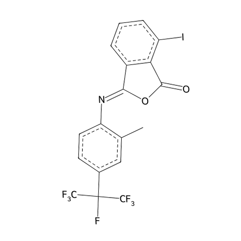 Cc1cc(C(F)(C(F)(F)F)C(F)(F)F)ccc1N=C1OC(=O)c2c(I)cccc21